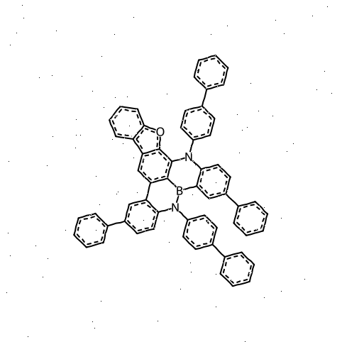 c1ccc(-c2ccc(N3B4c5cc(-c6ccccc6)ccc5N(c5ccc(-c6ccccc6)cc5)c5c4c(cc4c5oc5ccccc54)-c4cc(-c5ccccc5)ccc43)cc2)cc1